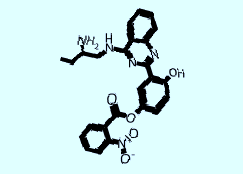 CC[C@@H](N)CNc1nc(-c2cc(OC(=O)c3ccccc3[N+](=O)[O-])ccc2O)nc2ccccc12